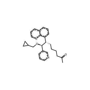 CC(=O)CCCC[C@@H](c1cccc2cccnc12)[C@H](OCC1CC1)c1cccnc1